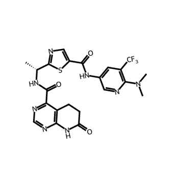 C[C@@H](NC(=O)c1ncnc2c1CCC(=O)N2)c1ncc(C(=O)Nc2cnc(N(C)C)c(C(F)(F)F)c2)s1